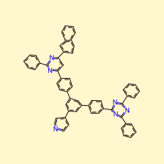 c1ccc(-c2nc(-c3ccc(-c4cc(-c5ccncc5)cc(-c5ccc(-c6nc(-c7ccccc7)nc(-c7ccccc7)n6)cc5)c4)cc3)cc(-c3ccc4ccccc4c3)n2)cc1